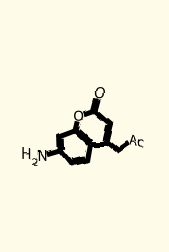 CC(=O)Cc1cc(=O)oc2cc(N)ccc12